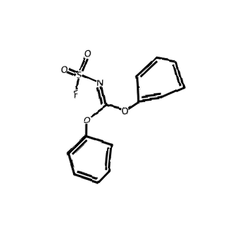 O=S(=O)(F)N=C(Oc1ccccc1)Oc1ccccc1